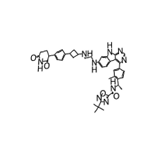 Cc1cc(-c2ncnc3[nH]c4cc(NCCNC5CC(c6ccc(C7CCC(=O)NC7=O)cc6)C5)ccc4c23)ccc1[C@@H](C)NC(=O)c1nc(C(C)(C)C)no1